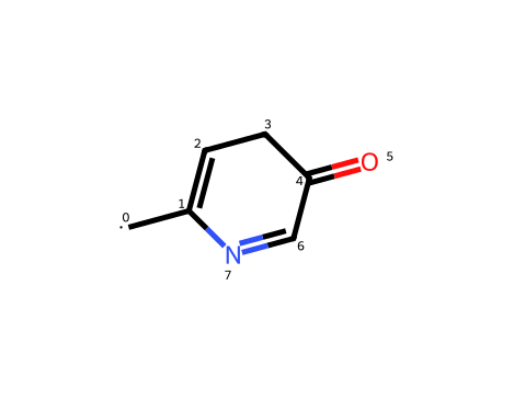 [CH2]C1=CCC(=O)C=N1